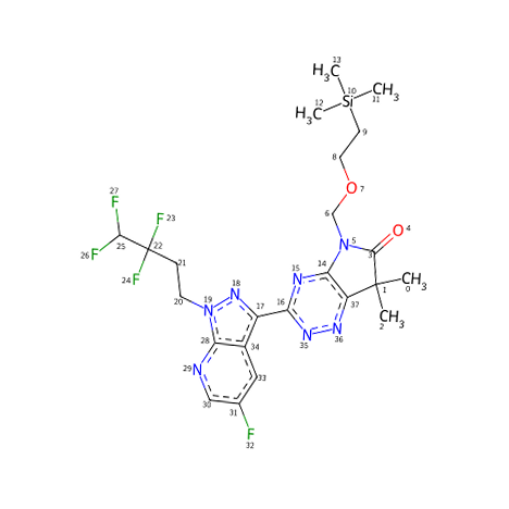 CC1(C)C(=O)N(COCC[Si](C)(C)C)c2nc(-c3nn(CCC(F)(F)C(F)F)c4ncc(F)cc34)nnc21